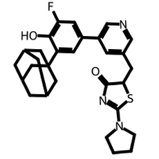 O=C1N=C(N2CCCC2)SC1Cc1cncc(-c2cc(F)c(O)c(C34CC5CC(CC(C5)C3)C4)c2)c1